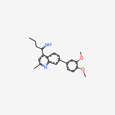 CCCC(=N)c1cc(C)nc2cc(-c3ccc(OC)c(OC)c3)ccc12